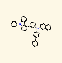 c1ccc(-c2ccc(N(c3cccc(-c4cccc5c4c4ccccc4n5-c4ccccc4)c3)c3ccc4ccccc4c3)cc2)cc1